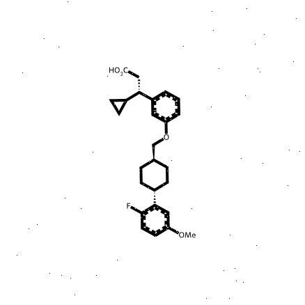 COc1ccc(F)c([C@H]2CC[C@H](COc3cccc([C@@H](CC(=O)O)C4CC4)c3)CC2)c1